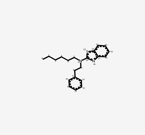 CCCCCCN(CCc1ccccc1)c1nc2ccccc2s1